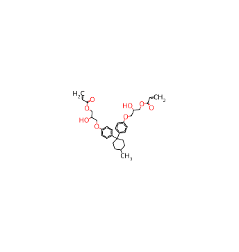 C=CC(=O)OCC(O)COc1ccc(C2(c3ccc(OCC(O)COC(=O)C=C)cc3)CCC(C)CC2)cc1